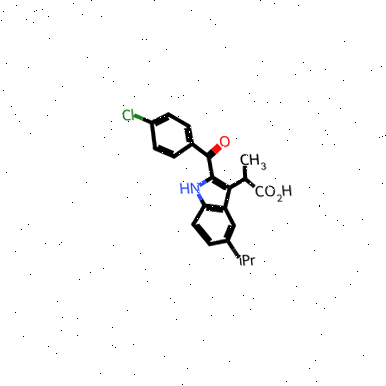 CC(C)c1ccc2[nH]c(C(=O)c3ccc(Cl)cc3)c(C(C)C(=O)O)c2c1